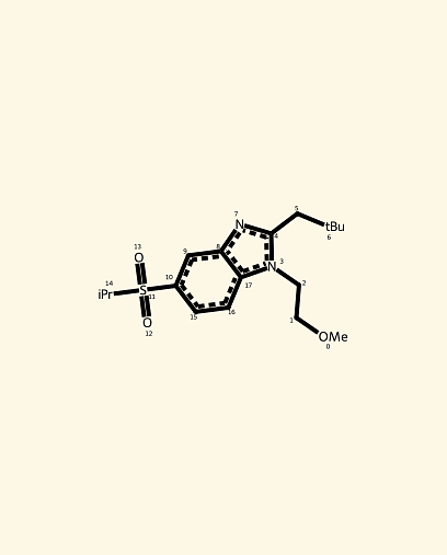 COCCn1c(CC(C)(C)C)nc2cc(S(=O)(=O)C(C)C)ccc21